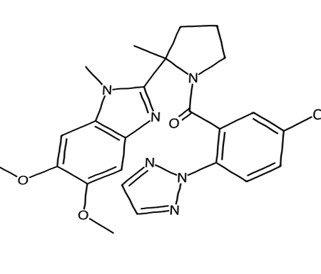 COc1cc2nc(C3(C)CCCN3C(=O)c3cc(Cl)ccc3-n3nccn3)n(C)c2cc1OC